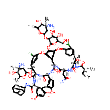 CN[C@H](CC(C)C)C(=O)N[C@H]1C(=O)N[C@@H](CC(N)=O)C(=O)N[C@H]2C(=O)N[C@H]3C(=O)N[C@H](C(=O)N[C@H](C(=O)NC4C5CC6CC(C5)CC4C6)c4cc(O)cc(O)c4-c4cc3ccc4O)[C@H](OC3CC(C)(N)C(O)C(C)O3)c3ccc(c(Cl)c3)Oc3cc2cc(c3OC2OC(CO)C(O)C(O)C2OC2CC(C)(N)C(O)C(C)O2)Oc2ccc(cc2Cl)[C@H]1O